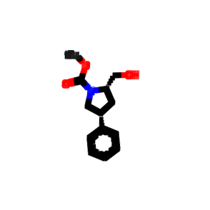 CC(C)(C)OC(=O)N1C[C@@H](c2ccccc2)C[C@H]1CO